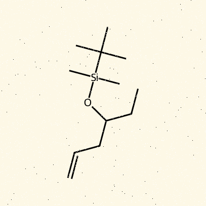 C=CCC(CC)O[Si](C)(C)C(C)(C)C